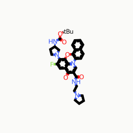 CC(C)(C)OC(=O)N[C@@H]1CCN(c2c(F)cc3c(=O)c(C(=O)NCCN4CCCC4)cn4c3c2Oc2c-4ccc3ccccc23)C1